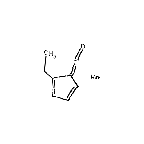 CCC1=CC=CC1=C=O.[Mn]